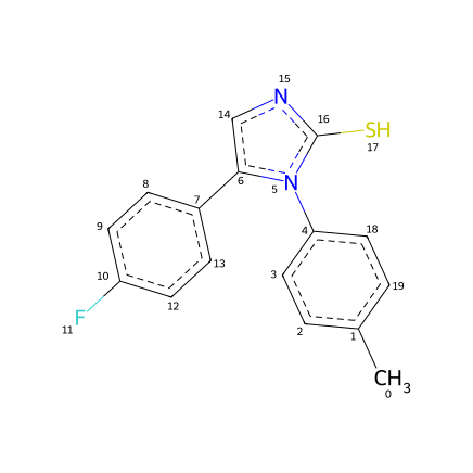 Cc1ccc(-n2c(-c3ccc(F)cc3)cnc2S)cc1